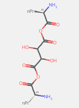 CCC[C@@H](N)C(=O)OC(=O)C(O)C(O)C(=O)OC(=O)[C@H](N)CCC